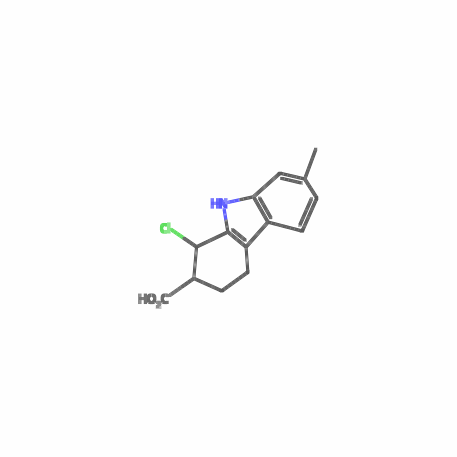 Cc1ccc2c3c([nH]c2c1)C(Cl)C(C(=O)O)CC3